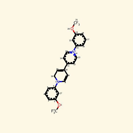 FC(F)(F)Oc1cccc(N2C=CC(c3cc[n+](-c4cccc(OC(F)(F)F)c4)cc3)=CC2)c1